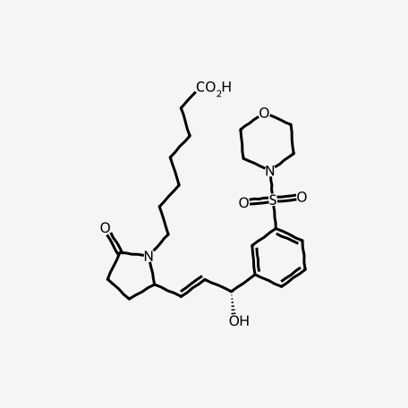 O=C(O)CCCCCCN1C(=O)CCC1/C=C/[C@@H](O)c1cccc(S(=O)(=O)N2CCOCC2)c1